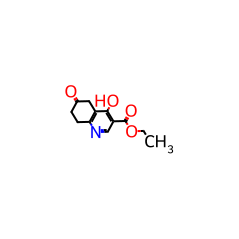 CCOC(=O)c1cnc2c(c1O)CC(=O)CC2